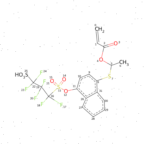 C=CC(=O)OC(C)Sc1ccc(OS(=O)(=O)C(F)(F)C(F)(F)C(F)(F)S(=O)(=O)O)c2ccccc12